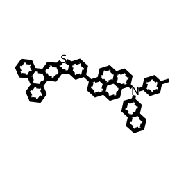 Cc1ccc(N(c2ccc3ccccc3c2)c2ccc3ccc4c(-c5ccc6sc7cc8c9ccccc9c9ccccc9c8cc7c6c5)ccc5ccc2c3c54)cc1